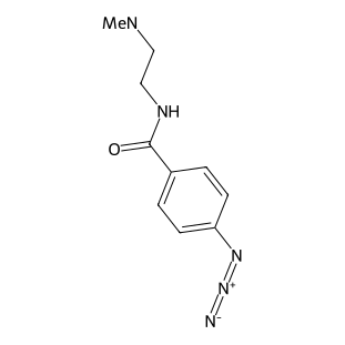 CNCCNC(=O)c1ccc(N=[N+]=[N-])cc1